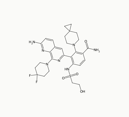 NC(=O)c1ccc(NS(=O)(=O)CCO)c(-c2cc3ccc(N)nc3c(N3CCC(F)(F)CC3)n2)c1N1CCC2(CC1)CC2